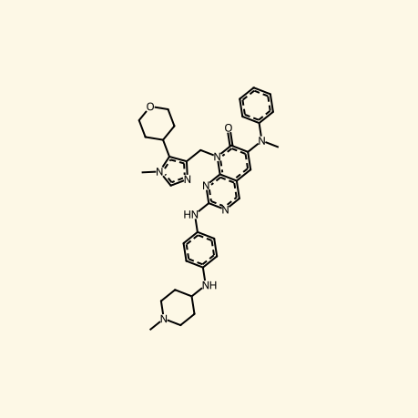 CN1CCC(Nc2ccc(Nc3ncc4cc(N(C)c5ccccc5)c(=O)n(Cc5ncn(C)c5C5CCOCC5)c4n3)cc2)CC1